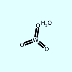 O.[O]=[W](=[O])=[O]